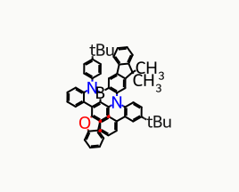 CC(C)(C)c1ccc(N2B3c4cc5c(cc4N(c4ccc(C(C)(C)C)cc4-c4ccccc4)c4cc6c(oc7ccccc76)c(c43)-c3ccccc32)C(C)(C)c2ccccc2-5)cc1